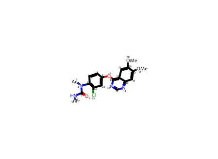 CCCNC(=O)N(C(C)=O)c1ccc(Oc2ncnc3cc(OC)c(OC)cc23)cc1Cl